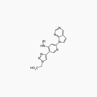 CC(C)Nc1cc(-n2ccc3cncnc32)ncc1-c1cn(CC(=O)O)nn1